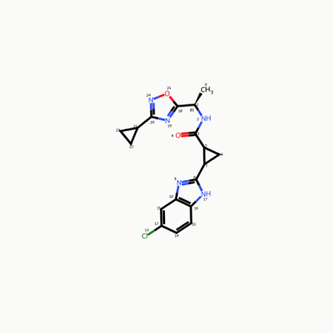 C[C@@H](NC(=O)C1CC1c1nc2cc(Cl)ccc2[nH]1)c1nc(C2CC2)no1